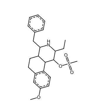 CCC1NC(Cc2ccccc2)C2CCc3cc(OC)ccc3C2C1OS(C)(=O)=O